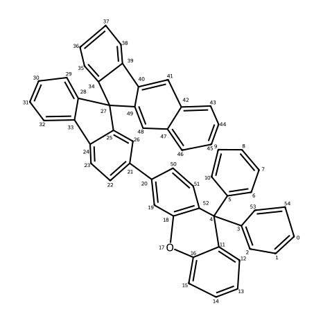 c1ccc(C2(c3ccccc3)c3ccccc3Oc3cc(-c4ccc5c(c4)C4(c6ccccc6-5)c5ccccc5-c5cc6ccccc6cc54)ccc32)cc1